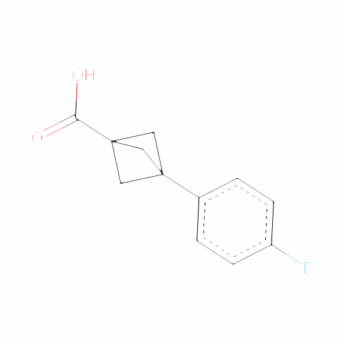 O=C(O)C12CC(c3ccc(F)cc3)(C1)C2